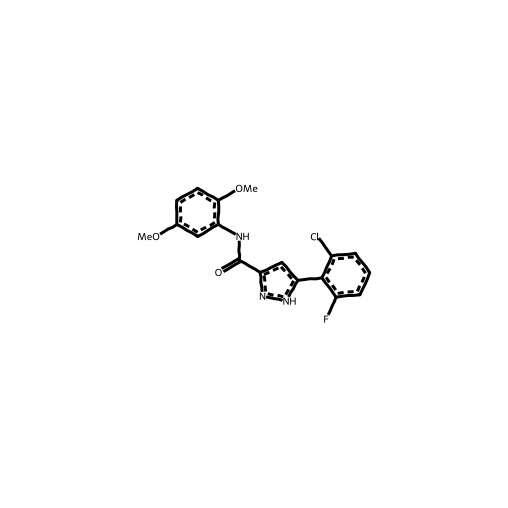 COc1ccc(OC)c(NC(=O)c2cc(-c3c(F)cccc3Cl)[nH]n2)c1